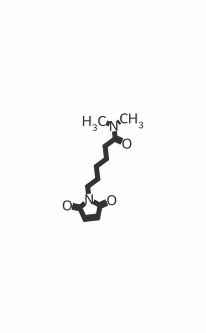 CN(C)C(=O)CCCCCN1C(=O)C=CC1=O